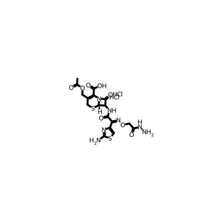 CC(=O)OCC1=C(C(=O)O)N2C(=O)C(NC(=O)C(=NOCC(=O)NN)c3csc(N)n3)[C@@H]2SC1.Cl.Cl